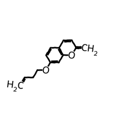 C=CCCOc1ccc2c(c1)OC(=C)C=C2